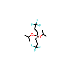 CC(C)O[Si](CCC(F)(F)F)(CCC(F)(F)F)OC(C)C